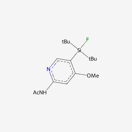 COc1cc(NC(C)=O)ncc1[Si](F)(C(C)(C)C)C(C)(C)C